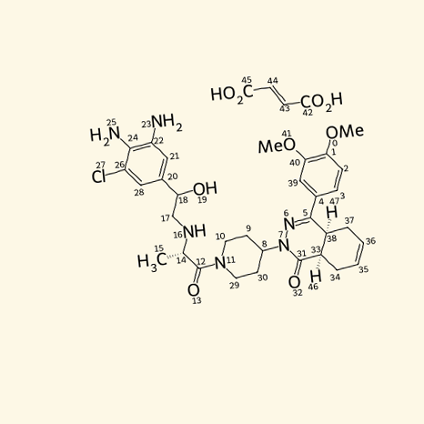 COc1ccc(C2=NN(C3CCN(C(=O)[C@H](C)NCC(O)c4cc(N)c(N)c(Cl)c4)CC3)C(=O)[C@@H]3CC=CC[C@H]23)cc1OC.O=C(O)C=CC(=O)O